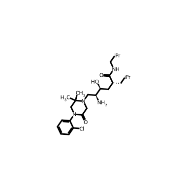 CC(C)CNC(=O)[C@H](CC(C)C)C[C@H](O)[C@@H](N)CN1CC(=O)N(c2ccccc2Cl)CC1(C)C